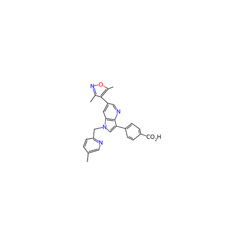 Cc1ccc(Cn2cc(-c3ccc(C(=O)O)cc3)c3ncc(-c4c(C)noc4C)cc32)nc1